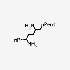 CCCCCCC(N)CCC(N)CCC